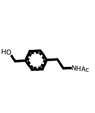 CC(=O)NCCc1ccc(CO)cc1